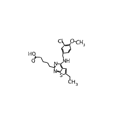 CCc1cc2c(NCc3ccc(OC)c(Cl)c3)nc(CCCCC(=O)O)nc2s1